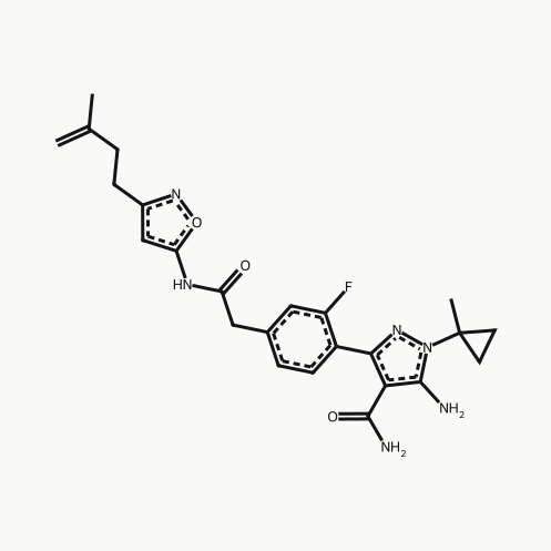 C=C(C)CCc1cc(NC(=O)Cc2ccc(-c3nn(C4(C)CC4)c(N)c3C(N)=O)c(F)c2)on1